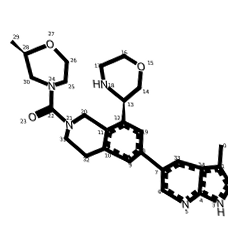 Cc1c[nH]c2ncc(-c3cc4c(c([C@@H]5COCCN5)c3)CN(C(=O)N3CCO[C@H](C)C3)CC4)cc12